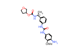 COc1cc(NC(=O)Nc2cccc([C@H](C)NC(=O)OC3CCOC3)c2)ccc1N